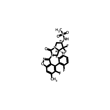 Cc1cc2onc(N3C[C@H]4N(C[C@@H](NS(C)(=O)=O)C4(F)F)C3=O)c2c(-c2c(F)cccc2F)c1F